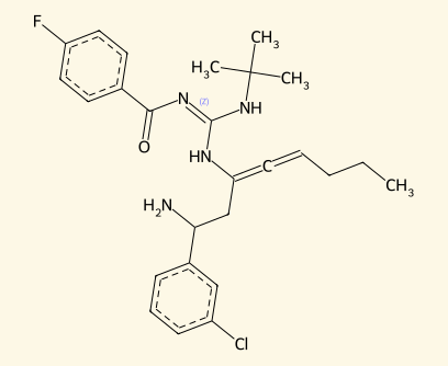 CCCC=C=C(CC(N)c1cccc(Cl)c1)N/C(=N\C(=O)c1ccc(F)cc1)NC(C)(C)C